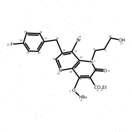 CCCCOc1c(C(=O)OCC)c(=O)n(CCCO)c2c(Br)c(Cc3ccc(F)cc3)cnc12